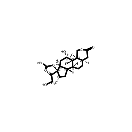 CCCCC(=O)O[C@]1(C(=O)CO)[C@@H](C)C[C@H]2[C@@H]3CC[C@@H]4CC(=O)CC[C@]4(C)[C@@]3(F)[C@@H](O)C[C@@]21C